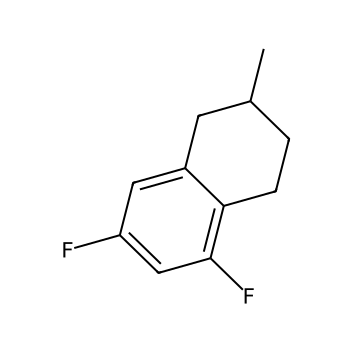 CC1CCc2c(F)cc(F)cc2C1